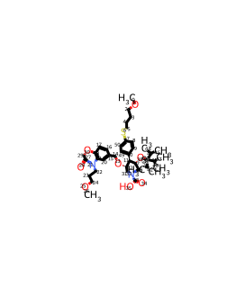 COCCCCSc1ccc([C@@H]2[C@@H](OCc3ccc4c(c3)N(CCCOC)C(=O)CO4)CN(C(=O)O)C[C@H]2O[Si](C(C)C)(C(C)C)C(C)C)cc1